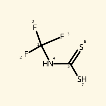 FC(F)(F)NC(=S)S